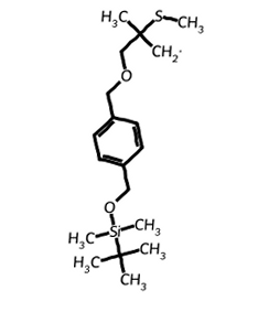 [CH2]C(C)(COCc1ccc(CO[Si](C)(C)C(C)(C)C)cc1)SC